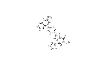 CC(C)(C)OC(=O)N1C[C@@H](N2CCN(c3cc(N)nc4ccccc34)CC2)C[C@H]1C(=O)N1CCSC1